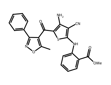 COC(=O)c1ccccc1Nc1sc(C(=O)c2c(-c3ccccc3)noc2C)c(N)c1C#N